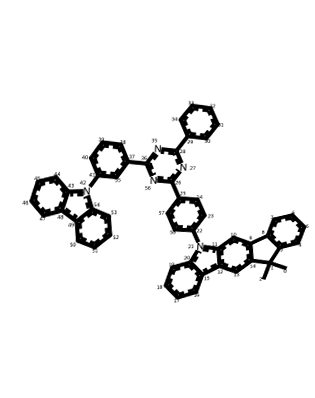 CC1(C)c2ccccc2-c2cc3c(cc21)c1ccccc1n3-c1ccc(-c2nc(-c3ccccc3)nc(-c3cccc(-n4c5ccccc5c5ccccc54)c3)n2)cc1